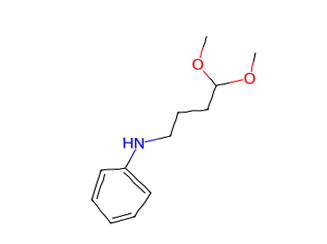 COC(CCCNc1ccccc1)OC